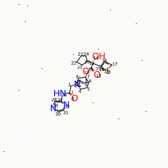 O=C(C[N+]12CCC(CC1)C(OC(=O)[C@](O)(c1ccsc1)C1CCCC1)C2)Nc1cnccn1